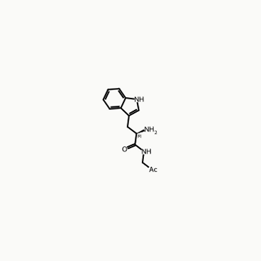 CC(=O)CNC(=O)[C@H](N)Cc1c[nH]c2ccccc12